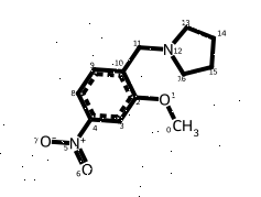 COc1cc([N+](=O)[O-])ccc1CN1CCCC1